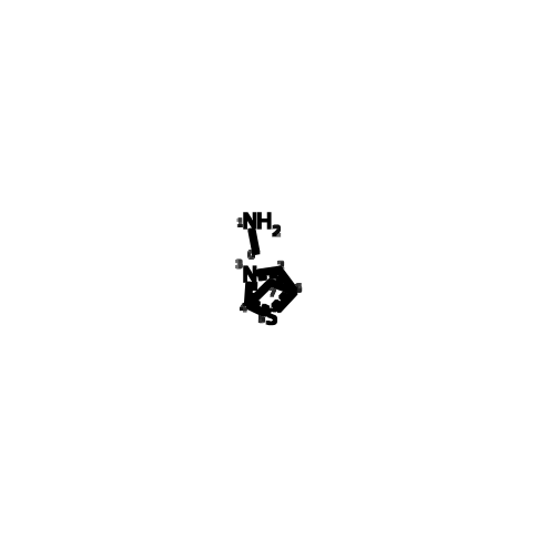 CN.c1nc2sc1C2